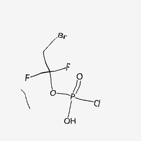 CC.O=P(O)(Cl)OC(F)(F)CBr